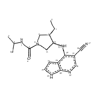 CCC1CN(C(=O)NC(C)C)CC1Nc1c(C#N)cnc2[nH]ccc12